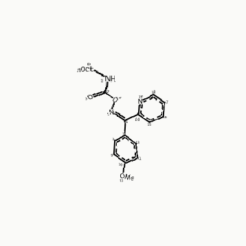 CCCCCCCCNC(=O)ON=C(c1ccc(OC)cc1)c1ccccn1